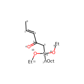 CC=CC(=O)C[Si](CCCCCCCC)(OCC)OCC